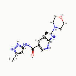 Cc1cc(NC(=O)c2cnc3[nH]c(N4CCOCC4)cc3c2)n[nH]1